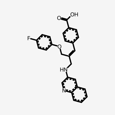 O=C(O)c1ccc(C=C(CNc2cnc3ccccc3c2)COc2ccc(F)cc2)cc1